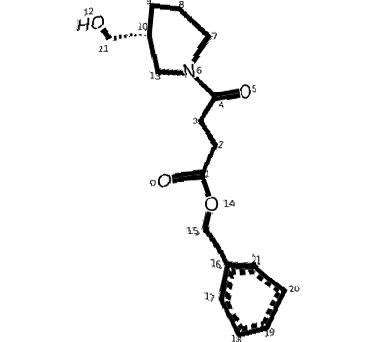 O=C(CCC(=O)N1CCC[C@@H](CO)C1)OCc1ccccc1